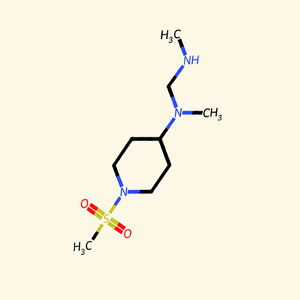 CNCN(C)C1CCN(S(C)(=O)=O)CC1